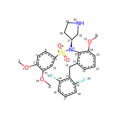 COc1ccc(S(=O)(=O)N(c2c(Cc3c(F)cccc3F)cccc2OC)[C@H]2CCNC2)cc1OC